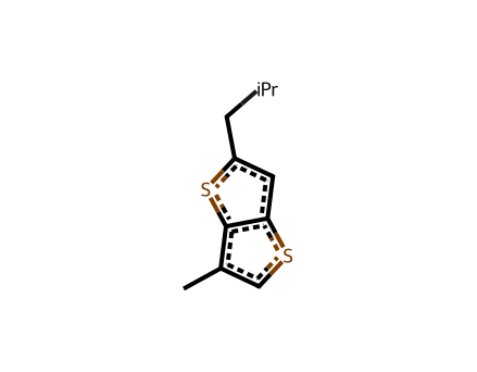 Cc1csc2cc(CC(C)C)sc12